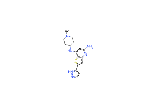 CC(=O)N1CCC(Nc2cc(N)nc3cc(-c4ccn[nH]4)sc23)CC1